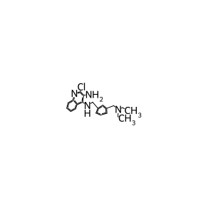 CCN(CC)Cc1cccc(CNc2c(N)c(Cl)nc3ccccc23)c1